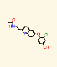 CC(=O)NCCc1ccc2cc(Oc3ccc(O)cc3Cl)ccc2n1